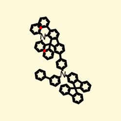 c1ccc(-c2cccc(N(c3ccc(-c4ccc5c(c4)C4(c6ccccc6)c6ccccc6N(c6ccccc6)c6c(-c7ccccc7)ccc-5c64)cc3)c3ccc4c(c3)C3(c5ccccc5-c5ccccc53)c3ccccc3-4)c2)cc1